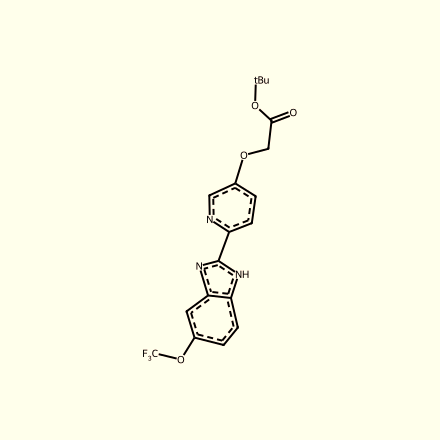 CC(C)(C)OC(=O)COc1ccc(-c2nc3cc(OC(F)(F)F)ccc3[nH]2)nc1